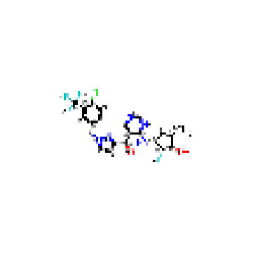 [CH2][C@@H]1C[C@@H](Nc2ncncc2C(=O)c2ccn(Cc3ccc(Cl)c(C(F)(F)F)c3)n2)[C@@H](F)[C@@H]1O